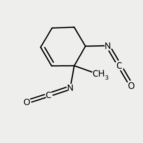 CC1(N=C=O)C=CCCC1N=C=O